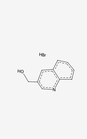 Br.OCc1cnc2ccccc2c1